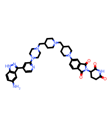 Nc1ccc2[nH]nc(-c3ccnc(N4CCN(CC5CCN(CC6CCN(c7ccc8c(c7)C(=O)N(C7CCC(=O)NC7=O)C8=O)CC6)CC5)CC4)c3)c2c1